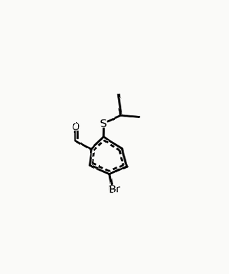 CC(C)Sc1ccc(Br)cc1C=O